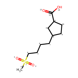 CS(=O)(=O)CCCCC1CCC(C(=O)O)C1